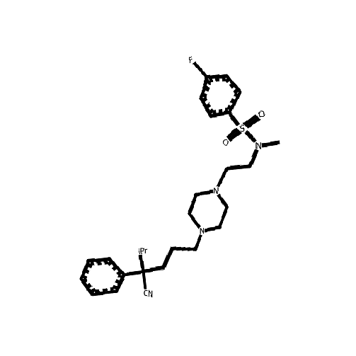 CC(C)C(C#N)(CCCN1CCN(CCN(C)S(=O)(=O)c2ccc(F)cc2)CC1)c1ccccc1